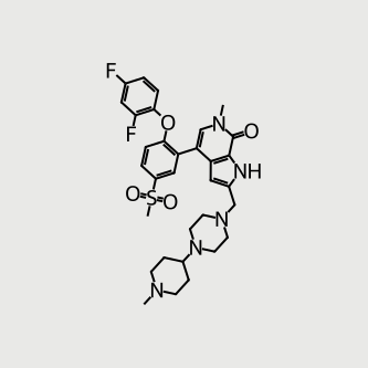 CN1CCC(N2CCN(Cc3cc4c(-c5cc(S(C)(=O)=O)ccc5Oc5ccc(F)cc5F)cn(C)c(=O)c4[nH]3)CC2)CC1